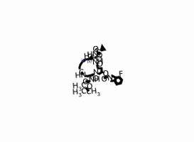 CC(C)(C)OC(=O)N[C@H]1CNCCC/C=C\[C@@H]2C[C@@]2(C(=O)NS(=O)(=O)C2CC2)NC(=O)C2C[C@@H](OC(=O)N3Cc4cccc(F)c4C3)CN2C1=O